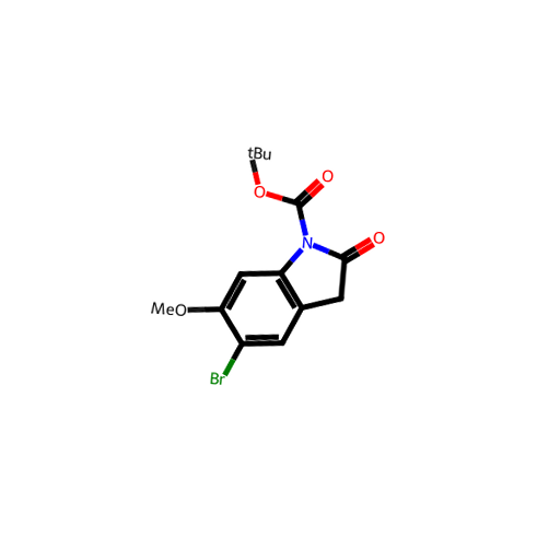 COc1cc2c(cc1Br)CC(=O)N2C(=O)OC(C)(C)C